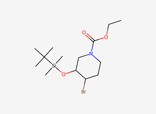 CCOC(=O)N1CCC(Br)C(O[Si](C)(C)C(C)(C)C)C1